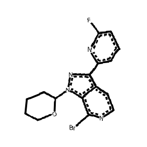 Fc1cccc(-c2nn(C3CCCCO3)c3c(Br)nccc23)n1